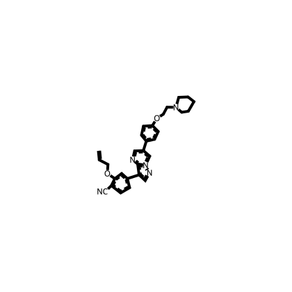 C=CCOc1cc(-c2cnn3cc(-c4ccc(OCCN5CCCCC5)cc4)cnc23)ccc1C#N